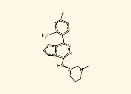 Cc1ccc(-c2nnc(N[C@@H]3CCCN(C)C3)n3cccc23)c(C(F)(F)F)c1